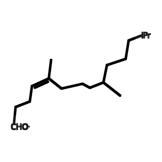 CC(=CCC[C]=O)CCCC(C)CCCC(C)C